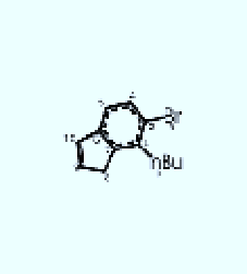 CCCCc1c(Br)ccc2c1CC=C2